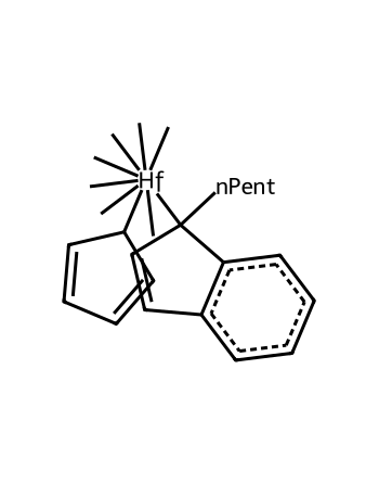 CCCCC[C]1([Hf]([CH3])([CH3])([CH3])([CH3])([CH3])([CH3])([CH3])[CH]2C=CC=C2)C=Cc2ccccc21